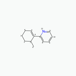 CC1CCCC=C1c1ccccn1